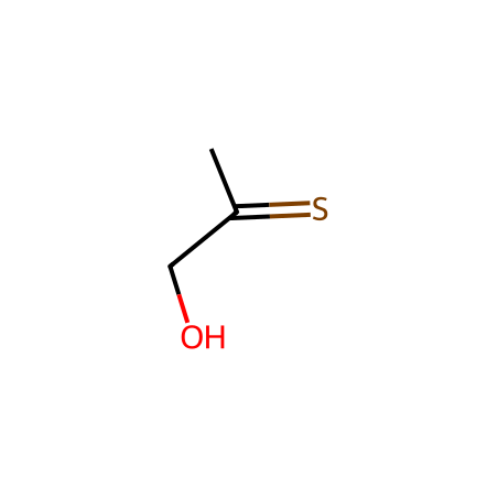 CC(=S)CO